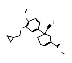 COC(=O)C1=CCCC(C#N)(c2ccc(OC)c(OCC3CC3)c2)C1